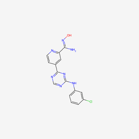 N/C(=N\O)c1cc(-c2ncnc(Nc3cccc(Cl)c3)n2)ccn1